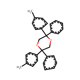 Cc1ccc(C2(c3ccccc3)COC(c3ccccc3)(c3ccc(C)cc3)CO2)cc1